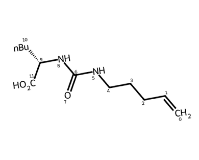 C=CCCCNC(=O)N[C@@H](CCCC)C(=O)O